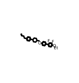 C=CCCc1ccc(C2CCC(COc3ccc(-c4ccc(OCC)c(F)c4F)cc3)CC2)cc1